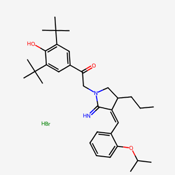 Br.CCCC1CN(CC(=O)c2cc(C(C)(C)C)c(O)c(C(C)(C)C)c2)C(=N)C1=Cc1ccccc1OC(C)C